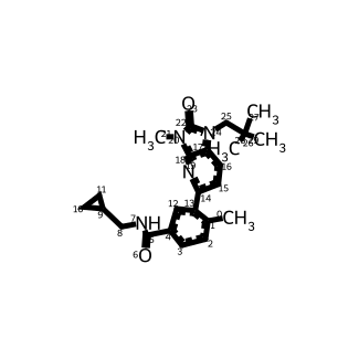 Cc1ccc(C(=O)NCC2CC2)cc1-c1ccc2c(n1)n(C)c(=O)n2CC(C)(C)C